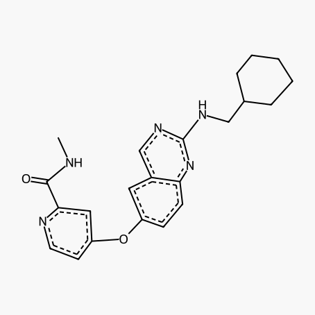 CNC(=O)c1cc(Oc2ccc3nc(NCC4CCCCC4)ncc3c2)ccn1